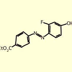 CCOC(=O)c1ccc(N=Nc2ccc(O)cc2F)cc1